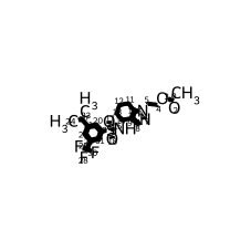 CC(=O)OCCn1ncc2c1CCCC2NS(=O)(=O)c1cc(C(C)C)cc(C(F)(F)F)c1